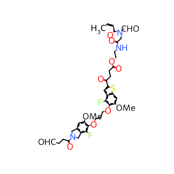 C/C=C\C(=O)N(C=O)CC(=O)NCCOC(=O)CCC(=O)c1cc2c(F)c(OCCCOc3c(OC)cc4c(c3F)CN(C(=O)CCC=O)C4)c(OC)cc2s1